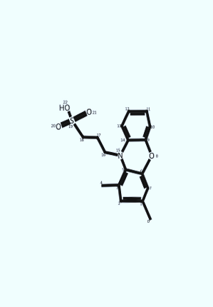 Cc1cc(C)c2c(c1)Oc1ccccc1N2CCCS(=O)(=O)O